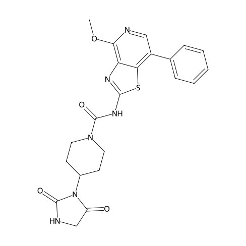 COc1ncc(-c2ccccc2)c2sc(NC(=O)N3CCC(N4C(=O)CNC4=O)CC3)nc12